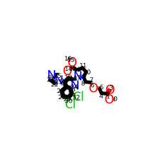 COC(=O)CCOCCC1CCC(C(=O)OC)N1c1cc(-n2ccnc2)c2ccc(Cl)c(Cl)c2n1